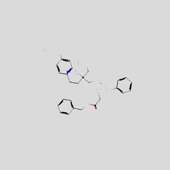 CCCCCCCCc1ccc(CCC(N)(CO)COP(=O)(NCC(=O)OCc2ccccc2)Oc2ccccc2)cc1